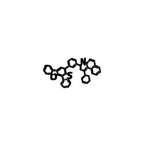 c1ccc(-c2cc(-c3cccc(-c4cc5c6ccccc6oc5c5c4sc4ccccc45)c3)nc3ccc4ccccc4c23)cc1